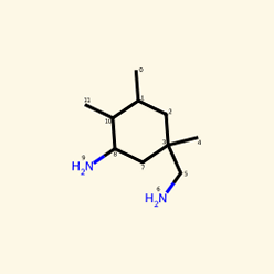 CC1CC(C)(CN)CC(N)C1C